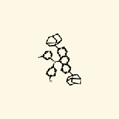 Cc1cccc(N(c2ccc(C(C)C)cc2)c2c3ccc(C45CC6CC(CC(C6)C4)C5)cc3cc3ccc(C45CC6CC(CC(C6)C4)C5)cc23)c1